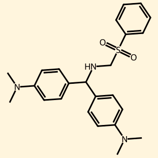 CN(C)c1ccc(C(NCS(=O)(=O)c2ccccc2)c2ccc(N(C)C)cc2)cc1